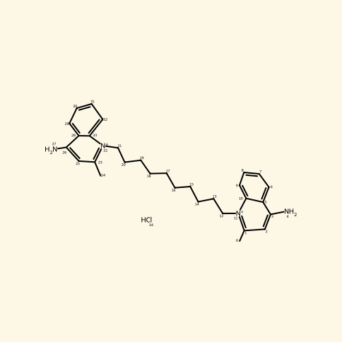 Cc1cc(N)c2ccccc2[n+]1CCCCCCCCCC[n+]1c(C)cc(N)c2ccccc21.Cl